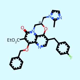 CCOC(=O)c1c(OCc2ccccc2)c2ncc(Cc3ccc(F)cc3)c3c2n(c1=O)C[C@@H](Cn1ccnc1C)O3